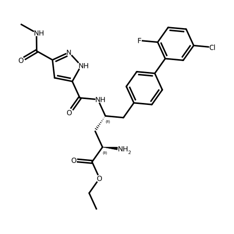 CCOC(=O)[C@H](N)C[C@@H](Cc1ccc(-c2cc(Cl)ccc2F)cc1)NC(=O)c1cc(C(=O)NC)n[nH]1